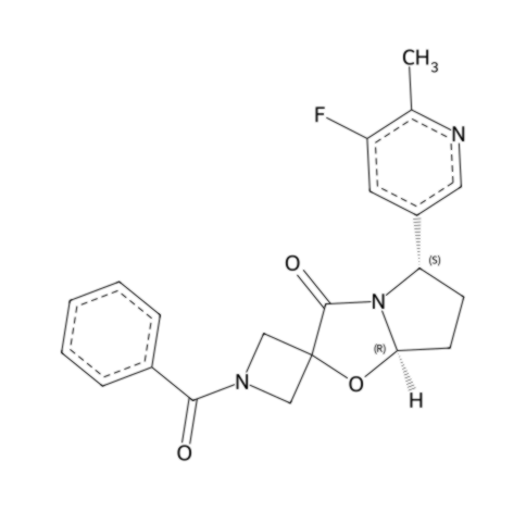 Cc1ncc([C@@H]2CC[C@H]3OC4(CN(C(=O)c5ccccc5)C4)C(=O)N32)cc1F